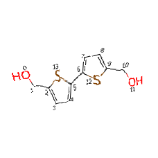 OCc1ccc(-c2ccc(CO)s2)s1